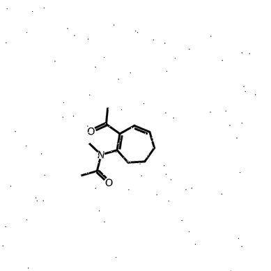 CC(=O)C1=C(N(C)C(C)=O)CCCC=C1